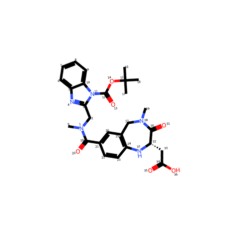 CN(Cc1nc2ccccc2n1C(=O)OC(C)(C)C)C(=O)c1ccc2c(c1)CN(C)C(=O)[C@H](CC(=O)O)N2